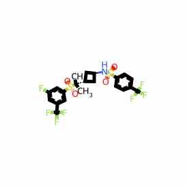 CC(C)([C@H]1C[C@H](NS(=O)(=O)c2ccc(C(F)(F)F)cc2)C1)S(=O)(=O)c1cc(F)cc(C(F)(F)F)c1